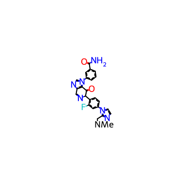 CNCc1nccn1-c1ccc(C2N=Cc3ncn(-c4cccc(C(N)=O)c4)c3C2=O)c(F)c1